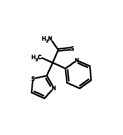 CC(C(N)=S)(c1ccccn1)c1nccs1